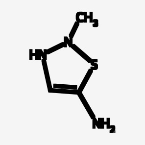 CN1NC=C(N)S1